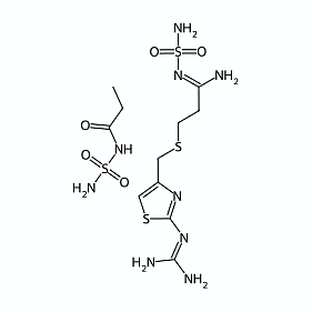 CCC(=O)NS(N)(=O)=O.NC(N)=Nc1nc(CSCCC(N)=NS(N)(=O)=O)cs1